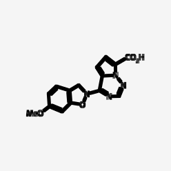 COc1ccc2c(c1)ON(c1ncnn3c(C(=O)O)ccc13)C2